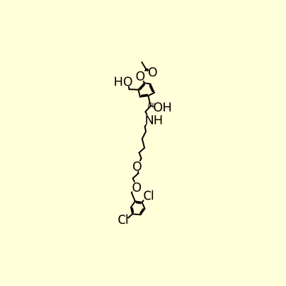 CC(=O)Oc1ccc([C@@H](O)CNCCCCCCOCCOCc2cc(Cl)ccc2Cl)cc1CO